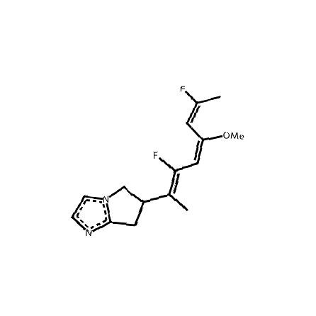 COC(/C=C(\C)F)=C/C(F)=C(\C)C1Cc2nccn2C1